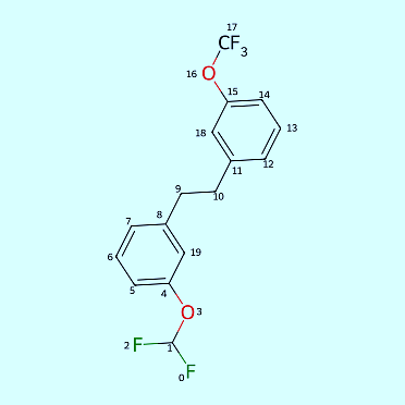 FC(F)Oc1cccc(CCc2cccc(OC(F)(F)F)c2)c1